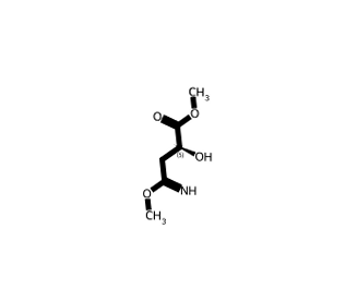 COC(=N)C[C@H](O)C(=O)OC